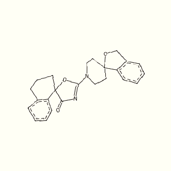 O=C1N=C(N2CCC3(CC2)OCc2ccccc23)OC12CCCc1ccccc12